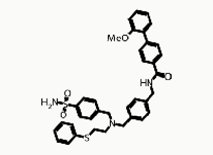 COc1ccccc1-c1ccc(C(=O)NCc2ccc(CN(CCSc3ccccc3)Cc3ccc(S(N)(=O)=O)cc3)cc2)cc1